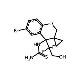 NC(=S)NC1(C(F)(F)CO)c2cc(Br)ccc2OCC12CC2